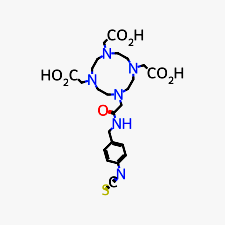 O=C(O)CN1CCN(CC(=O)O)CCN(CC(=O)NCc2ccc(N=C=S)cc2)CCN(CC(=O)O)CC1